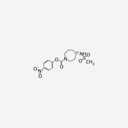 CS(=O)(=O)N[C@H]1CCCN(C(=O)Oc2ccc([N+](=O)[O-])cc2)CC1